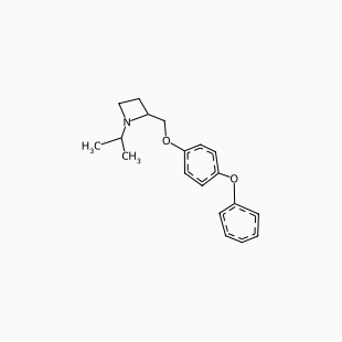 CC(C)N1CCC1COc1ccc(Oc2ccccc2)cc1